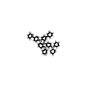 C1=CCC(N(c2ccccc2)c2ccc3c(c2)N(c2ccccc2)c2cccc4c2B3c2cc(-c3ccccc3)ccc2N4c2ccc(-c3ccccc3)cc2)C=C1